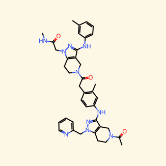 CNC(=O)Cn1nc(Nc2cccc(C)c2)c2c1CCN(C(=O)Cc1ccc(Nc3nn(Cc4ccccn4)c4c3CN(C(C)=O)CC4)cc1C)C2